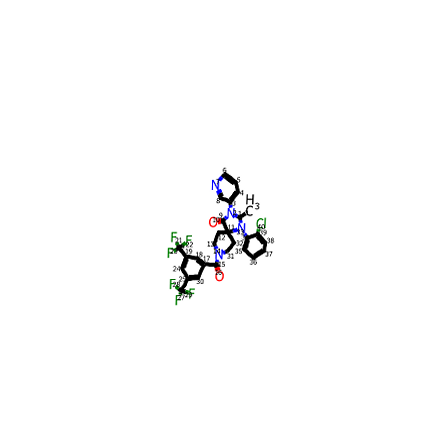 CC1N(c2cccnc2)C(=O)C2(CCN(C(=O)c3cc(C(F)(F)F)cc(C(F)(F)F)c3)CC2)N1c1ccccc1Cl